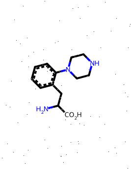 NC(Cc1ccccc1N1CCNCC1)C(=O)O